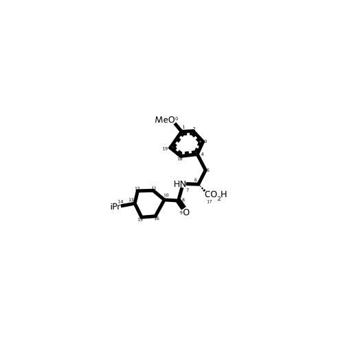 COc1ccc(C[C@@H](NC(=O)C2CCC(C(C)C)CC2)C(=O)O)cc1